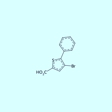 O=C(O)c1cc(Br)c(-c2ccccc2)s1